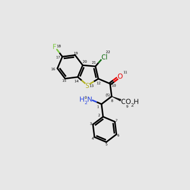 NC(c1ccccc1)[C@H](C(=O)O)C(=O)c1sc2ccc(F)cc2c1Cl